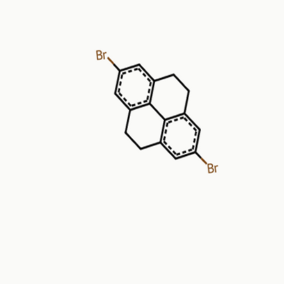 Brc1cc2c3c(c1)CCc1cc(Br)cc(c1-3)CC2